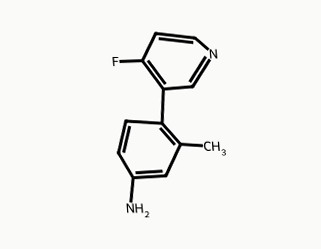 Cc1cc(N)ccc1-c1cnccc1F